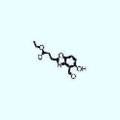 CCOC(=O)CCc1nc2c(C=O)c(O)ccc2o1